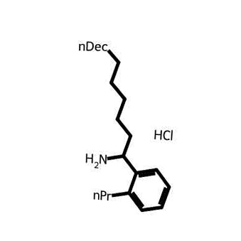 CCCCCCCCCCCCCCCC(N)c1ccccc1CCC.Cl